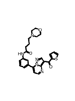 O=C(CCCN1CCOCC1)Nc1cccc(-c2ccnc3c(C(=O)c4cccs4)cnn23)c1